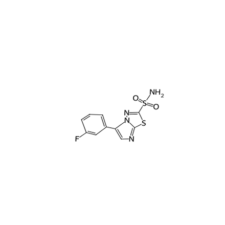 NS(=O)(=O)c1nn2c(-c3cccc(F)c3)cnc2s1